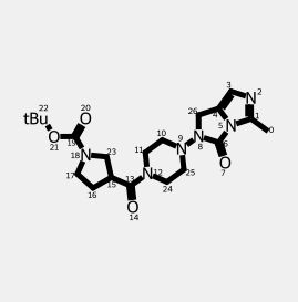 Cc1ncc2n1C(=O)N(N1CCN(C(=O)C3CCN(C(=O)OC(C)(C)C)C3)CC1)C2